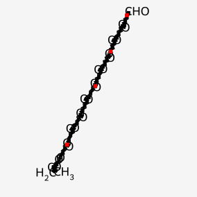 C=C(C)C(=O)OCCOOCCCCCC(=O)OCCCCCC(=O)OCCCCCC(=O)OCCCCCC(=O)OCCCCCC(=O)OCCCCCC(=O)OCCCCCC(=O)OCCCCCC(=O)OCCCCCC(=O)OCCCCCC=O